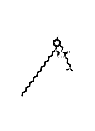 CCCCCCCCCCCCCCCCCCN(C=O)c1ccc(Cl)cc1COC(=O)NCCCN(C)C